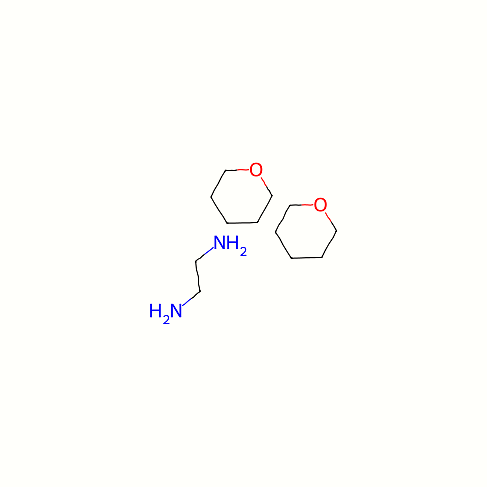 C1CCOCC1.C1CCOCC1.NCCN